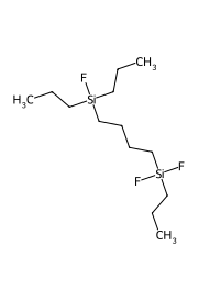 CCC[Si](F)(F)CCCC[Si](F)(CCC)CCC